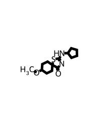 COC1CCC2(CC1)SC(NC1CCCC1)=NC2=O